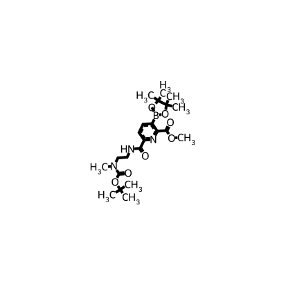 COC(=O)c1nc(C(=O)NCCN(C)C(=O)OC(C)(C)C)ccc1B1OC(C)(C)C(C)(C)O1